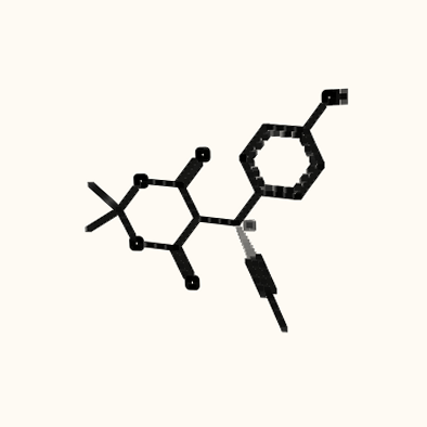 CC#C[C@@H](c1ccc(O)cc1)C1C(=O)OC(C)(C)OC1=O